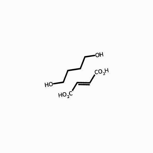 O=C(O)/C=C/C(=O)O.OCCCCO